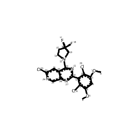 COc1cc(OC)c(Cl)c(-c2nc(N3CCC(F)(F)C3)c3cc(Cl)ncc3n2)c1Cl